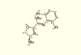 CCCC/C(=N\c1c(C(C)C)cccc1C(C)C)C1=N[C@@H](C(C)(C)C)CO1